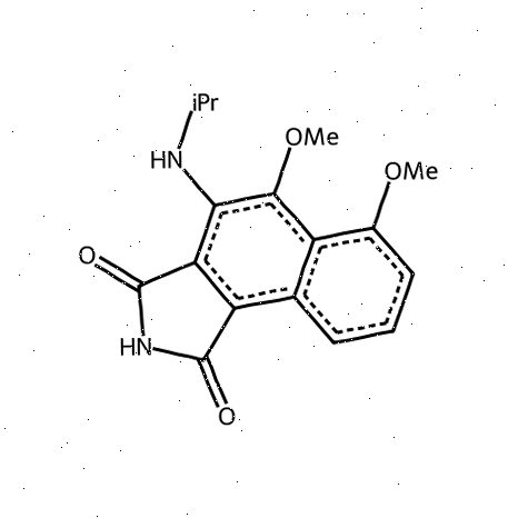 COc1cccc2c3c(c(NC(C)C)c(OC)c12)C(=O)NC3=O